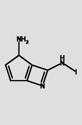 NC1C=CC2=C1C(NI)=N2